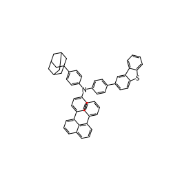 c1ccc(-c2cccc3cccc(-c4ccc(N(c5ccc(-c6ccc7sc8ccccc8c7c6)cc5)c5ccc(C67CC8CC(CC(C8)C6)C7)cc5)cc4)c23)cc1